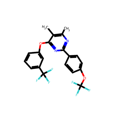 Cc1nc(-c2ccc(OC(F)(F)F)cc2)nc(Oc2cccc(C(F)(F)F)c2)c1C